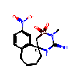 CN1C(=N)N[C@@]2(CCCCc3ccc([N+](=O)[O-])cc32)CS1(=O)=O